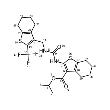 CC(C)OC(=O)c1c(NC(=O)NCc2c(C(F)(F)F)sc3c2CCCC3)sc2c1CCCC2